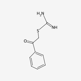 N=C(N)SCC(=O)c1ccccc1